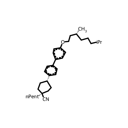 CCCCC[C@]1(C#N)CC[C@H](c2ccc(-c3ccc(OCC[C@H](C)CCCC(C)C)cc3)cc2)CC1